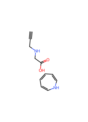 C#CCNCC(=O)O.C1=CC=CNC=C1